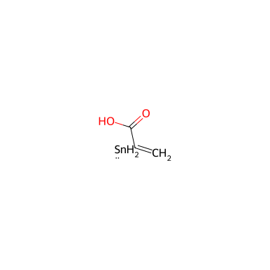 C=CC(=O)O.[SnH2]